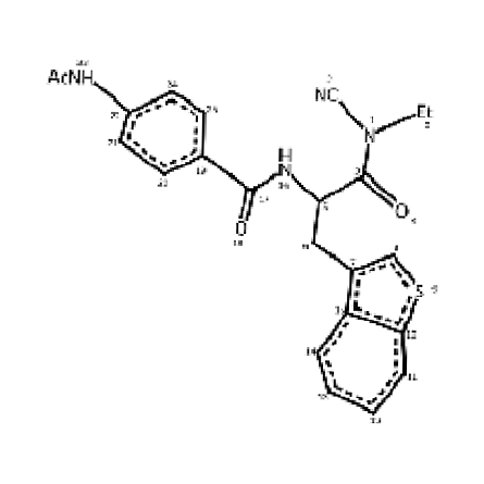 CCN(C#N)C(=O)C(Cc1csc2ccccc12)NC(=O)c1ccc(NC(C)=O)cc1